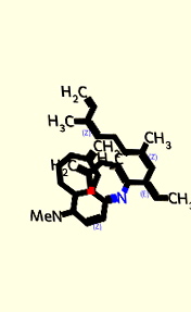 C=C/C(C)=C\CC(=C)/C(C)=C\C(=C/C)C1=CCC(=C)CC(/C=C\C(NC)C2CCCC(=C)CC2)=N1